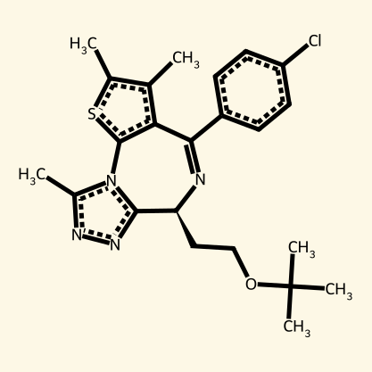 Cc1sc2c(c1C)C(c1ccc(Cl)cc1)=N[C@@H](CCOC(C)(C)C)c1nnc(C)n1-2